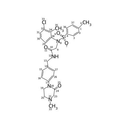 Cc1ccc(S(=O)(=O)N(CC(=O)NCc2ccc(N3CCN(C)CC3=O)cc2)c2cccc(Cl)c2C)cc1